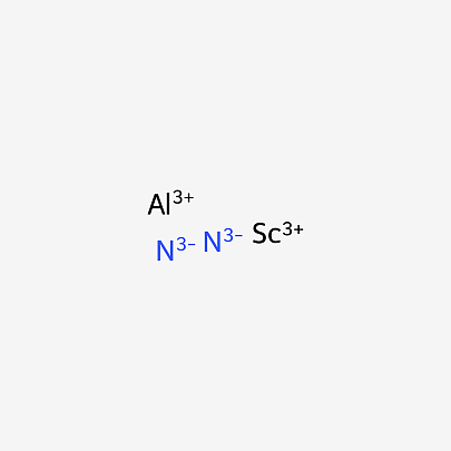 [Al+3].[N-3].[N-3].[Sc+3]